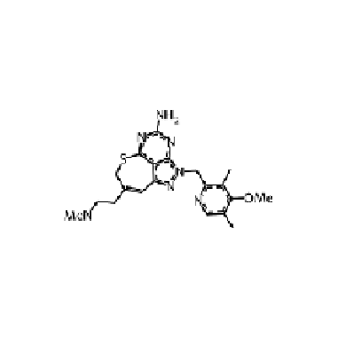 CNCCC1=Cc2nn(Cc3ncc(C)c(OC)c3C)c3nc(N)nc(c23)SC1